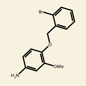 COc1cc(N)ccc1OCc1ccccc1Br